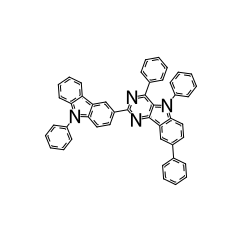 c1ccc(-c2ccc3c(c2)c2nc(-c4ccc5c(c4)c4ccccc4n5-c4ccccc4)nc(-c4ccccc4)c2n3-c2ccccc2)cc1